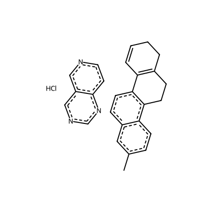 Cc1ccc2c3c(ccc2c1)C1=C(CCC=C1)CC3.Cl.c1cc2ncncc2cn1